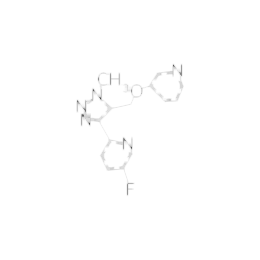 Cn1nnc(-c2ccc(F)cn2)c1COc1cccnc1